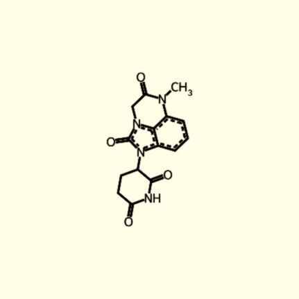 CN1C(=O)Cn2c(=O)n(C3CCC(=O)NC3=O)c3cccc1c32